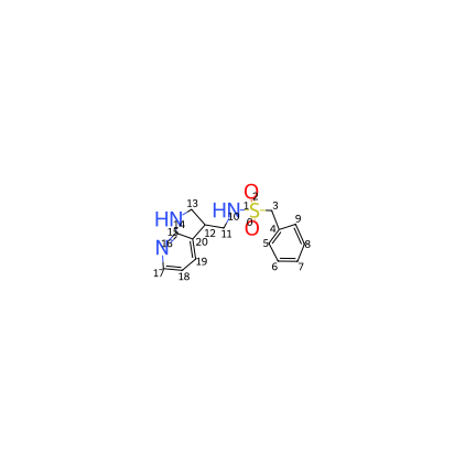 O=S(=O)(Cc1ccccc1)NCC1CNc2ncccc21